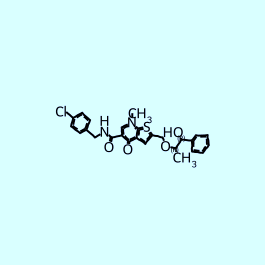 C[C@@H](OCc1cc2c(=O)c(C(=O)NCc3ccc(Cl)cc3)cn(C)c2s1)[C@H](O)c1ccccc1